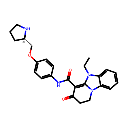 CCN1C2=C(C(=O)Nc3ccc(OC[C@@H]4CCCN4)cc3)C(=O)CCN2c2ccccc21